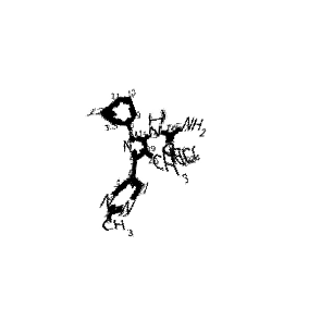 Cc1ncc(-c2nn(-c3ccccc3)c(NC(N)=O)c2C)cn1.Cl.Cl